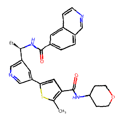 CC[C@@H](NC(=O)c1ccc2cnccc2c1)c1cncc(-c2cc(C(=O)NC3CCOCC3)c(C)s2)c1